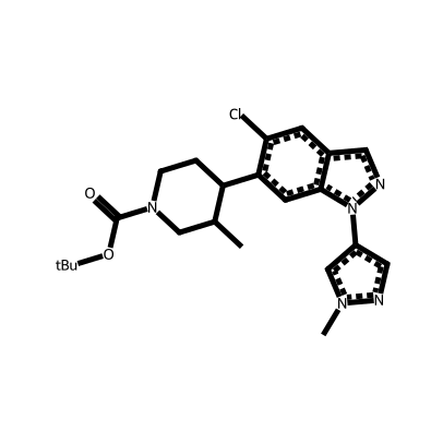 CC1CN(C(=O)OC(C)(C)C)CCC1c1cc2c(cnn2-c2cnn(C)c2)cc1Cl